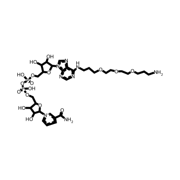 NCCCOCCOCCOCCCNc1ncnc2c1ncn2C1OC(COP(=O)(O)OP(=O)(O)OCC2OC([n+]3cccc(C(N)=O)c3)C(O)C2O)C(O)C1O